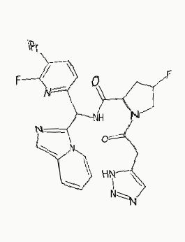 CC(C)c1ccc(C(NC(=O)C2CC(F)CN2C(=O)Cc2cnn[nH]2)c2ncc3ccccn23)nc1F